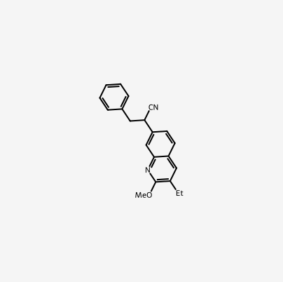 CCc1cc2ccc(C(C#N)Cc3ccccc3)cc2nc1OC